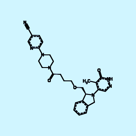 Cc1c(N2Cc3ccccc3[C@H]2COCCCC(=O)N2CCN(c3ccc(C#N)cn3)CC2)cn[nH]c1=O